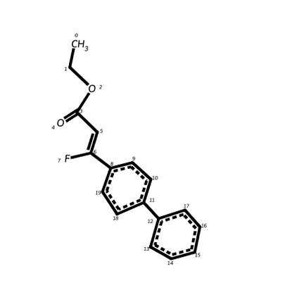 CCOC(=O)C=C(F)c1ccc(-c2ccccc2)cc1